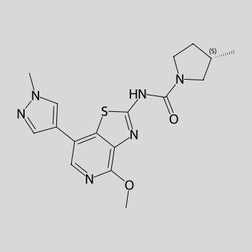 COc1ncc(-c2cnn(C)c2)c2sc(NC(=O)N3CC[C@H](C)C3)nc12